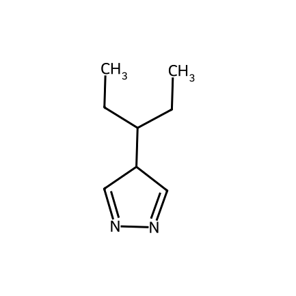 CCC(CC)C1C=NN=C1